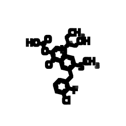 CC[C@@H](CO)n1cc(OC(=O)O)c(=O)c2cc(Cc3cccc(Cl)c3F)c(SC)cc21